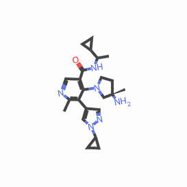 Cc1ncc(C(=O)NC(C)C2CC2)c(N2CC[C@](C)(N)C2)c1-c1cnn(C2CC2)c1